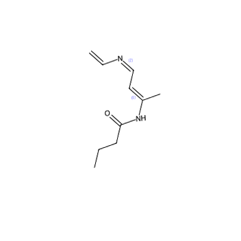 C=C/N=C\C=C(/C)NC(=O)CCC